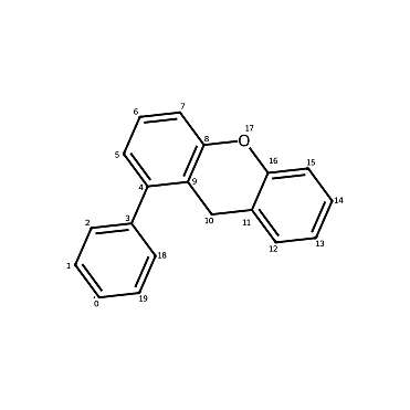 [c]1ccc(-c2cccc3c2Cc2ccccc2O3)cc1